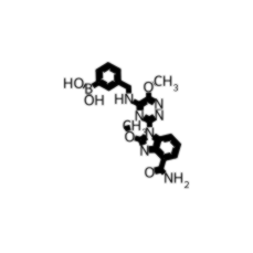 COc1nnc(-n2c(OC)nc3c(C(N)=O)cccc32)nc1NCc1cccc(B(O)O)c1